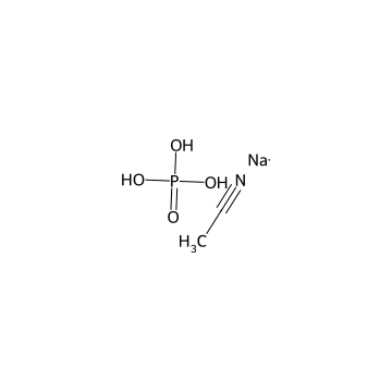 CC#N.O=P(O)(O)O.[Na]